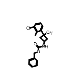 Cc1c(Cl)cccc1C1(O)CC(NC(=O)OCc2ccccc2)C1